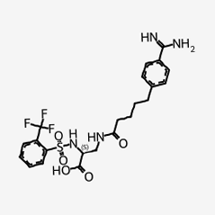 N=C(N)c1ccc(CCCCC(=O)NC[C@H](NS(=O)(=O)c2ccccc2C(F)(F)F)C(=O)O)cc1